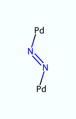 [Pd][N]=[N][Pd]